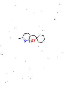 Cc1ccc(CC2(O)CCCCC2)cn1